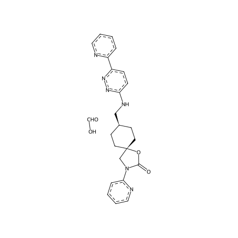 O=C1O[C@]2(CC[C@H](CNc3ccc(-c4ccccn4)nn3)CC2)CN1c1ccccn1.O=CO